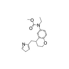 CCN(C(=O)OC)c1ccc2c(c1)C(CC1=CCC=N1)CCO2